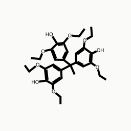 CCOc1cc(C(C)(c2cc(OCC)c(O)c(OCC)c2)c2cc(OCC)c(O)c(OCC)c2)cc(OCC)c1O